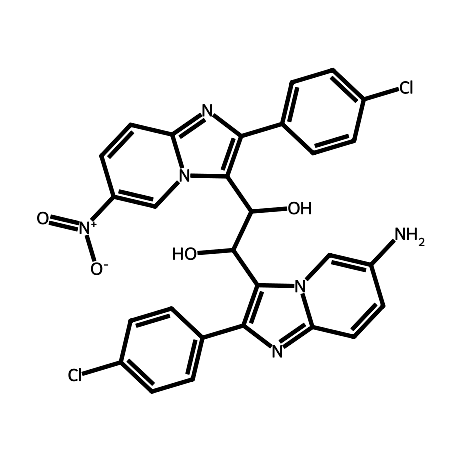 Nc1ccc2nc(-c3ccc(Cl)cc3)c(C(O)C(O)c3c(-c4ccc(Cl)cc4)nc4ccc([N+](=O)[O-])cn34)n2c1